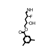 Cc1cc(C)cc(C(=O)OC[C@@H](O)C[C@H](F)C=N)c1